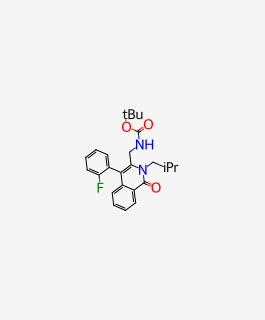 CC(C)Cn1c(CNC(=O)OC(C)(C)C)c(-c2ccccc2F)c2ccccc2c1=O